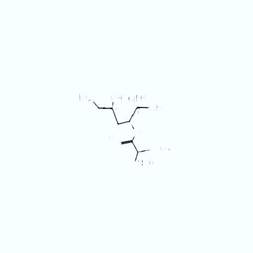 CCCCCCCCCC(CCCCCC)C(=O)O[C@@H]([C@H](O)[C@H](O)CO)[C@@H](O)C=O